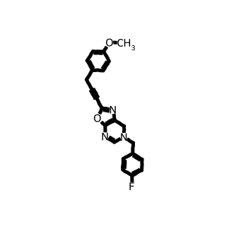 COc1ccc(CC#Cc2nc3c(o2)N=CN(Cc2ccc(F)cc2)C3)cc1